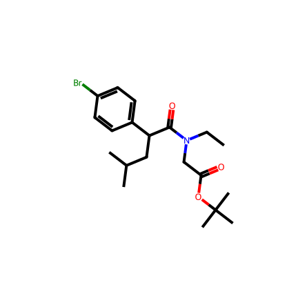 CCN(CC(=O)OC(C)(C)C)C(=O)C(CC(C)C)c1ccc(Br)cc1